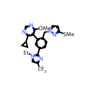 CCn1cc(C(F)(F)F)nc1-c1ccc(Cn2ccc(SC)n2)c(-c2c(OC)ncnc2C2CC2)c1